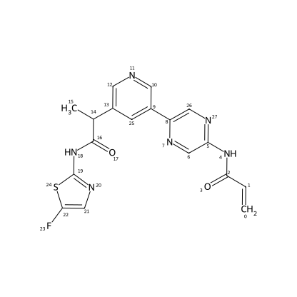 C=CC(=O)Nc1cnc(-c2cncc(C(C)C(=O)Nc3ncc(F)s3)c2)cn1